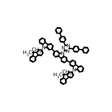 CC1(C)c2ccccc2-c2ccc(-n3c4ccccc4c4ccc(-c5ccc6c7ccc(-c8ccc9c%10ccccc%10n(-c%10ccc%11c(c%10)C(C)(C)c%10ccccc%10-%11)c9c8)cc7n(-c7nc(-c8ccc(-c9ccccc9)cc8)nc(-c8ccc(-c9ccccc9)cc8)n7)c6c5)cc43)cc21